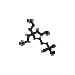 CCO[Si](CCCCS(=O)(=O)O)(OCC)OCC